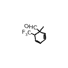 CC1(C=O)C=CC=CC1C(F)(F)F